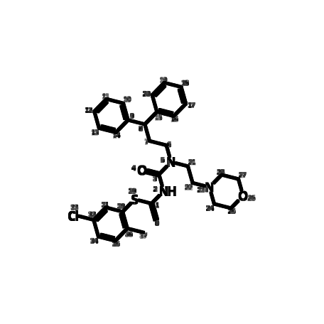 C=C(NC(=O)N(CCC(c1ccccc1)c1ccccc1)CCN1CCOCC1)Sc1cc(Cl)ccc1C